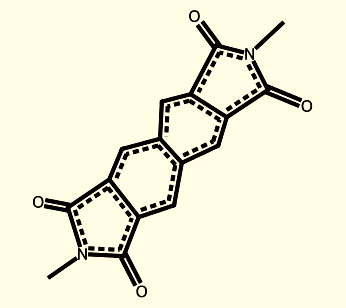 Cn1c(=O)c2cc3cc4c(=O)n(C)c(=O)c4cc3cc2c1=O